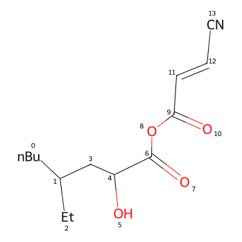 CCCCC(CC)CC(O)C(=O)OC(=O)C=CC#N